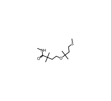 CNC(=O)C(C)(C)CCOC(C)(C)CCSC